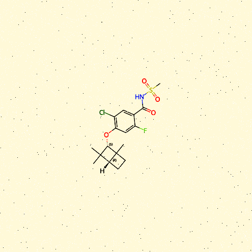 CC1(C)[C@H]2CCC2(C)[C@H]1Oc1cc(F)c(C(=O)NS(C)(=O)=O)cc1Cl